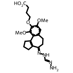 COc1cc2c(c(OC)c1OCCCC(=O)O)C1=C(CCC1)C(=NNC=NN)CC2